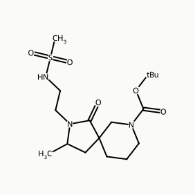 CC1CC2(CCCN(C(=O)OC(C)(C)C)C2)C(=O)N1CCNS(C)(=O)=O